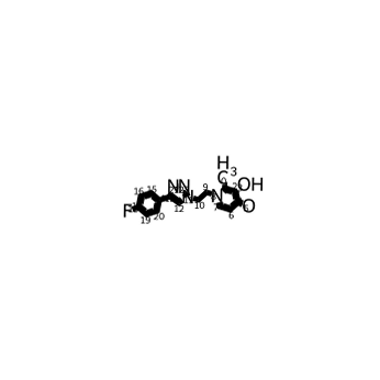 Cc1c(O)c(=O)ccn1CCn1cc(-c2ccc(F)cc2)nn1